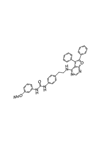 COc1cccc(NC(=O)Nc2ccc(CCNc3ncnc4oc(-c5ccccc5)c(-c5ccccc5)c34)cc2)c1